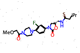 COCC(=O)N1CCN(c2ccc(N3C[C@H](CNC(=S)CC(C)C)OC3=O)cc2F)CC1